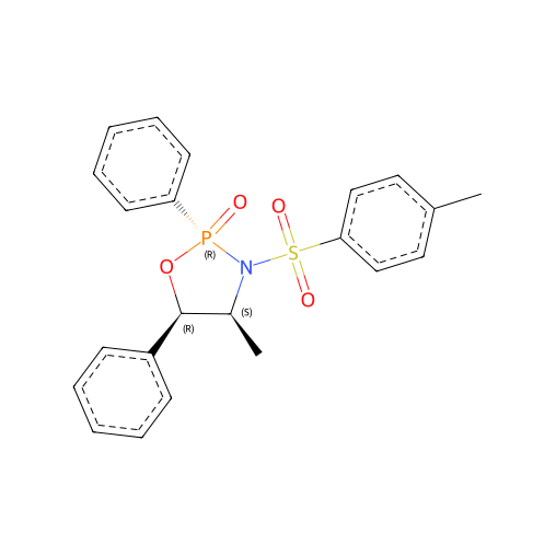 Cc1ccc(S(=O)(=O)N2[C@@H](C)[C@@H](c3ccccc3)O[P@]2(=O)c2ccccc2)cc1